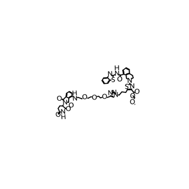 COCOC(=O)c1nc(N2CCc3cccc(C(=O)Nc4nc5ccccc5s4)c3C2)sc1CCCn1cc(COCCOCCOCCNc2cccc3c2C(=O)N(C2CCC(=O)NC2=O)C3=O)nn1